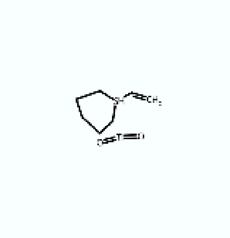 C=C[SH]1CCCCC1.[O]=[Ti]=[O]